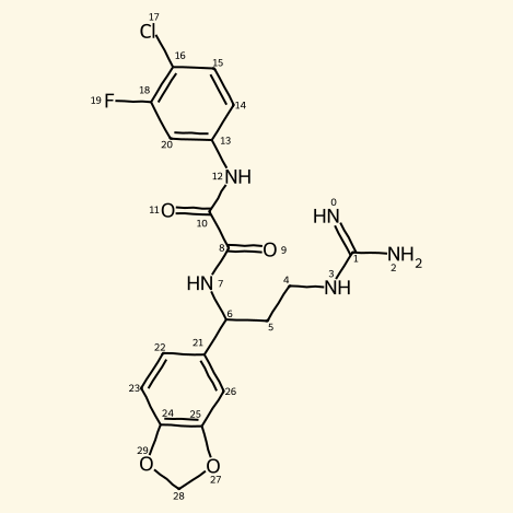 N=C(N)NCCC(NC(=O)C(=O)Nc1ccc(Cl)c(F)c1)c1ccc2c(c1)OCO2